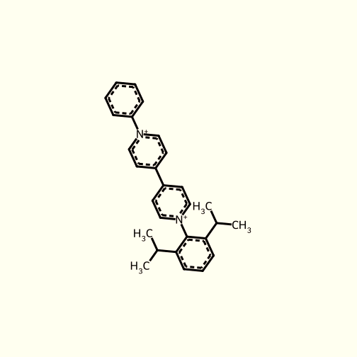 CC(C)c1cccc(C(C)C)c1-[n+]1ccc(-c2cc[n+](-c3ccccc3)cc2)cc1